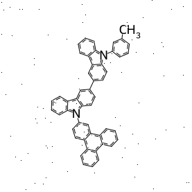 Cc1cccc(-n2c3ccccc3c3cc(-c4ccc5c(c4)c4ccccc4n5-c4ccc5c6ccccc6c6ccccc6c5c4)ccc32)c1